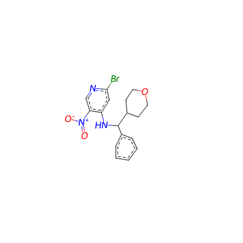 O=[N+]([O-])c1cnc(Br)cc1NC(c1ccccc1)C1CCOCC1